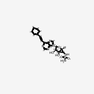 NS(=O)(=O)NC1[C@H]2O[C@@H](n3cnc4c(C#Cc5ccccc5)ncnc43)[C@H](O)[C@@]12O